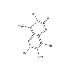 Cc1c(Br)c(=O)oc2c(Br)c(O)c(Br)cc12